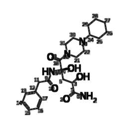 NC(=O)C(O)C[C@](O)(NC(=O)Cc1ccccc1)C(=O)N1CCN(C2CCCCC2)CC1